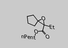 CCCCCOC(=O)C1(CC)OC12CCCC2